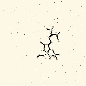 CCO[Si](CCCN=C(N(C)C)N(C)C)(OCC)O[Si](C)(C)C